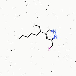 CCCCCC(CC)c1cnnc(CI)c1